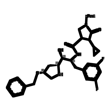 CCCCCN1CC(C(=O)N[C@@H](Cc2cc(F)cc(F)c2)[C@H](O)[C@H]2C[C@@H](OCc3ccccc3)CN2)C(C2CC2)C1=O